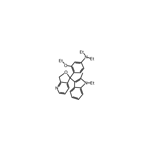 CCOc1cc(N(CC)CC)ccc1C1(c2c(C)n(CC)c3ccccc23)OCc2ncccc21